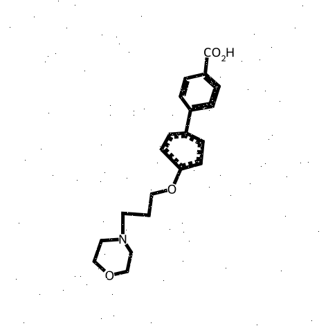 O=C(O)C1=C=C=C(c2ccc(OCCCN3CCOCC3)cc2)C=C1